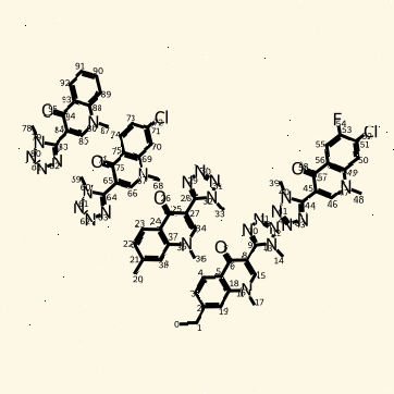 CCc1ccc2c(=O)c(-c3nnnn3C)cn(C)c2c1.Cc1ccc2c(=O)c(-c3nnnn3C)cn(C)c2c1.Cn1nnnc1-c1cn(C)c2cc(Cl)c(F)cc2c1=O.Cn1nnnc1-c1cn(C)c2cc(Cl)ccc2c1=O.Cn1nnnc1-c1cn(C)c2ccccc2c1=O